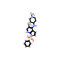 CN1CCC(Nc2c([N+](=O)[O-])cnc3c2ccn3S(=O)(=O)c2ccccc2)CC1